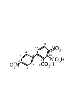 O=C(O)c1c(-c2ccc([N+](=O)[O-])cc2)ccc([N+](=O)[O-])c1C(=O)O